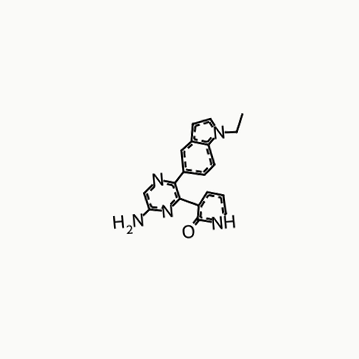 CCn1ccc2cc(-c3ncc(N)nc3-c3ccc[nH]c3=O)ccc21